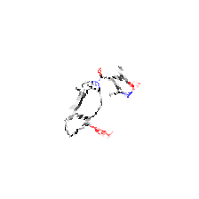 Cc1noc(C)c1C(=O)N1CC[C@@]2(C)c3cccc(O)c3CC1C2(C)C